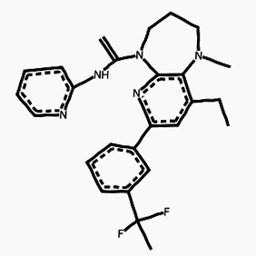 C=C(Nc1ccccn1)N1CCCN(C)c2c(CC)cc(-c3cccc(C(C)(F)F)c3)nc21